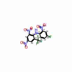 O=[N+]([O-])c1cc([N+](=O)[O-])c(Nc2ccc(F)cc2[N+](=O)[O-])c(C(F)(F)F)c1